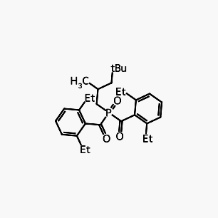 CCc1cccc(CC)c1C(=O)P(=O)(CC(C)CC(C)(C)C)C(=O)c1c(CC)cccc1CC